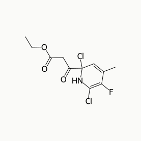 CCOC(=O)CC(=O)C1(Cl)C=C(C)C(F)=C(Cl)N1